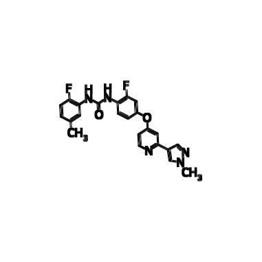 Cc1ccc(F)c(NC(=O)Nc2ccc(Oc3ccnc(-c4cnn(C)c4)c3)cc2F)c1